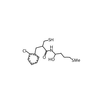 CSCCCC(O)NC(=O)C(CS)Cc1ccccc1Cl